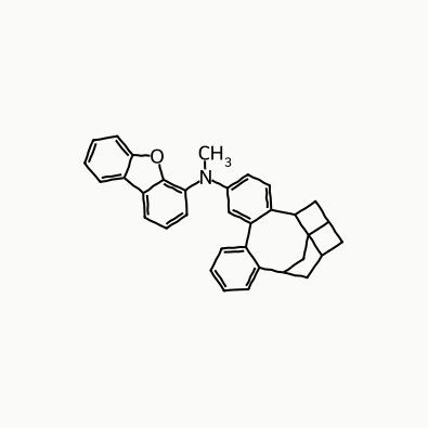 CN(c1ccc2c(c1)-c1ccccc1C1CC3CC4CC2C34C1)c1cccc2c1oc1ccccc12